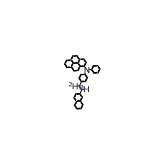 [2H]/C(=C(/[2H])c1ccc2ccccc2c1)c1ccc(N(c2ccccc2)c2ccc3ccc4cccc5ccc2c3c45)cc1